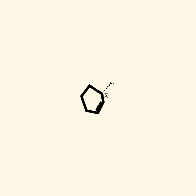 [CH2][C@@H]1C=CCCC1